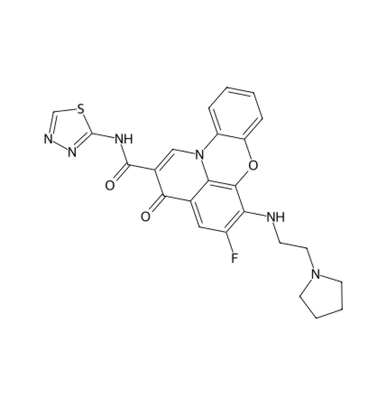 O=C(Nc1nncs1)c1cn2c3c(c(NCCN4CCCC4)c(F)cc3c1=O)Oc1ccccc1-2